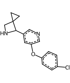 Clc1ccc(Oc2cncc(C3NCC34CC4)c2)cc1